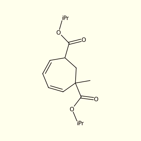 CC(C)OC(=O)C1C=CC=CC(C)(C(=O)OC(C)C)C1